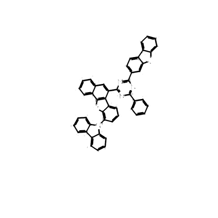 c1ccc(-c2nc(-c3ccc4c(c3)oc3ccccc34)nc(-c3cc4ccccc4c4oc5c(-n6c7ccccc7c7ccccc76)cccc5c34)n2)cc1